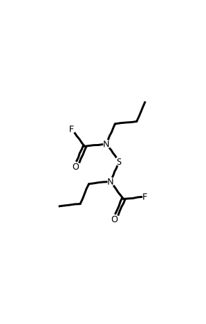 CCCN(SN(CCC)C(=O)F)C(=O)F